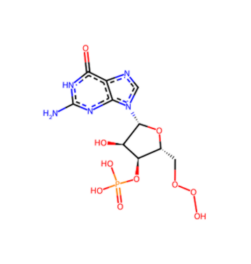 Nc1nc2c(ncn2[C@@H]2O[C@H](COOO)[C@@H](OP(=O)(O)O)[C@H]2O)c(=O)[nH]1